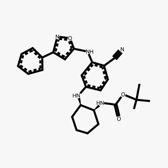 CC(C)(C)OC(=O)N[C@H]1CCCC[C@H]1Nc1ccc(C#N)c(Nc2cc(-c3ccccc3)no2)c1